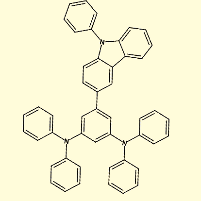 c1ccc(N(c2ccccc2)c2cc(-c3ccc4c(c3)c3ccccc3n4-c3ccccc3)cc(N(c3ccccc3)c3ccccc3)c2)cc1